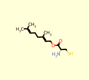 CC(C)=CCC/C(C)=C/COC(=O)[C@@H](N)CS